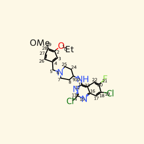 CCOc1cc(CN2CCC(Nc3nc(Cl)nc4cc(Cl)c(F)cc34)CC2)ccc1OC